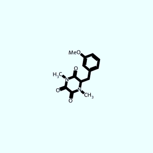 COc1cccc(CC2C(=O)N(C)C(=O)C(=O)N2C)c1